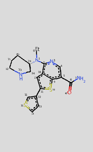 CCN(c1ncc(C(N)=O)c2sc(-c3ccsc3)cc12)[C@H]1CCCNC1